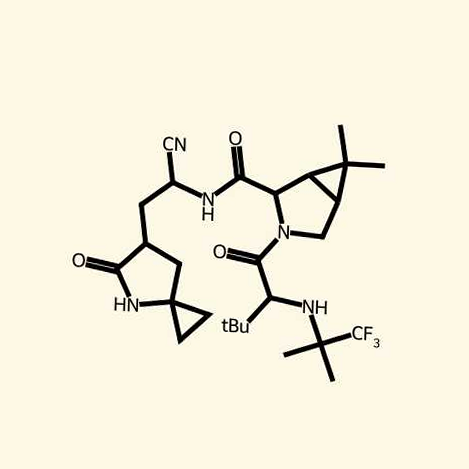 CC(C)(C)C(NC(C)(C)C(F)(F)F)C(=O)N1CC2C(C1C(=O)NC(C#N)CC1CC3(CC3)NC1=O)C2(C)C